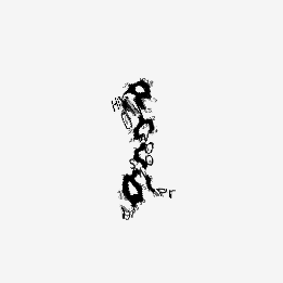 CC(C)CCN1C(=O)C(CC(=O)N2CCC(N3Cc4ccccc4NC3=O)CC2)SC1c1ccc(Br)cc1